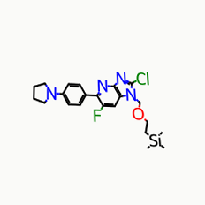 C[Si](C)(C)CCOCn1c(Cl)nc2nc(-c3ccc(N4CCCC4)cc3)c(F)cc21